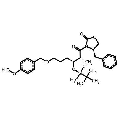 COc1ccc(COCCC[C@H](O[Si](C)(C)C(C)(C)C)[C@@H](C)C(=O)N2C(=O)OC[C@H]2Cc2ccccc2)cc1